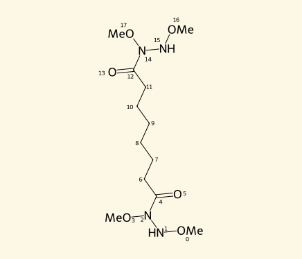 CONN(OC)C(=O)CCCCCCC(=O)N(NOC)OC